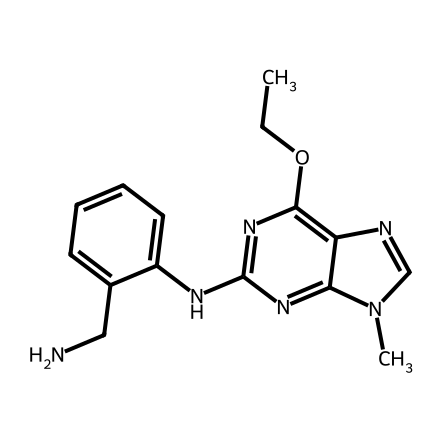 CCOc1nc(Nc2ccccc2CN)nc2c1ncn2C